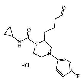 Cl.O=CCCCC1CN(c2ccc(F)cc2)CCN1C(=O)NC1CC1